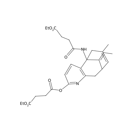 C/C=C1\C2C=C(C)CC1(NC(=O)CCC(=O)OCC)c1ccc(OC(=O)CCC(=O)OCC)nc1C2